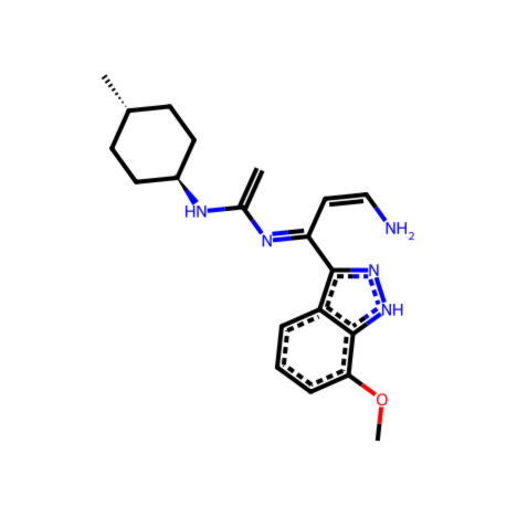 C=C(/N=C(\C=C/N)c1n[nH]c2c(OC)cccc12)N[C@H]1CC[C@H](C)CC1